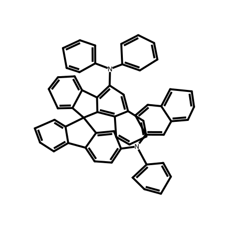 c1ccc(N(c2ccc3c(c2)C2(c4ccccc4-3)c3ccccc3-c3c(N(c4ccccc4)c4ccccc4)cc4ccccc4c32)c2ccc3ccccc3c2)cc1